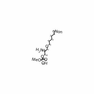 CCCCCCCCCCCCCCOC[C@@H](N)COP(=O)(O)OC